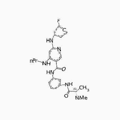 CCCNc1cc(Nc2cccc(F)c2)ncc1C(=O)Nc1cccc(NC(=O)[C@H](C)NC)c1